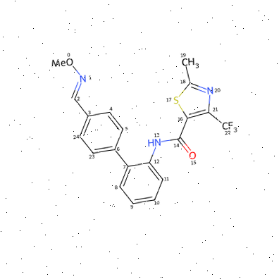 CON=Cc1ccc(-c2ccccc2NC(=O)c2sc(C)nc2C(F)(F)F)cc1